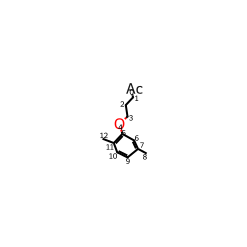 CC(=O)CCCOc1cc(C)ccc1C